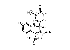 CCN([C@H](c1ccc(F)cc1)C(F)(F)F)S(=O)(=O)c1ccc(=O)n(C)c1